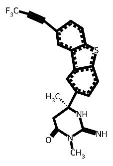 CN1C(=N)N[C@](C)(c2ccc3sc4ccc(C#CC(F)(F)F)cc4c3c2)CC1=O